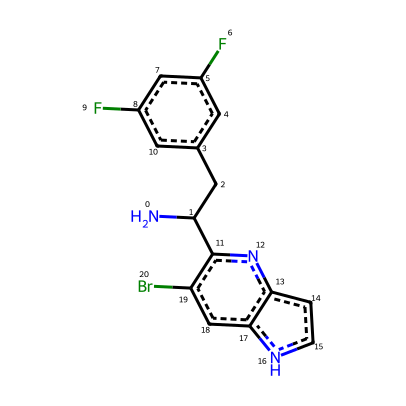 NC(Cc1cc(F)cc(F)c1)c1nc2cc[nH]c2cc1Br